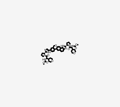 COC(=O)NC(C(=O)N1CCC[C@H]1c1ncc(-c2ccc3c(c2)COc2cc4c(ccc5nc([C@@H]6CCCN6C(=O)[C@@H](NC(=O)OC)C6CCOCC6)[nH]c54)cc2-3)[nH]1)C1CCOCC1